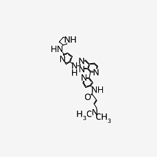 CN(C)C/C=C/C(=O)Nc1ccnc(-c2nccc3cnc(Nc4ccc(NC5CCNC5)nc4)nc23)c1